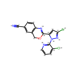 N#Cc1ccc2c(c1)COC(c1cc(Br)nn1-c1ncccc1Cl)=N2